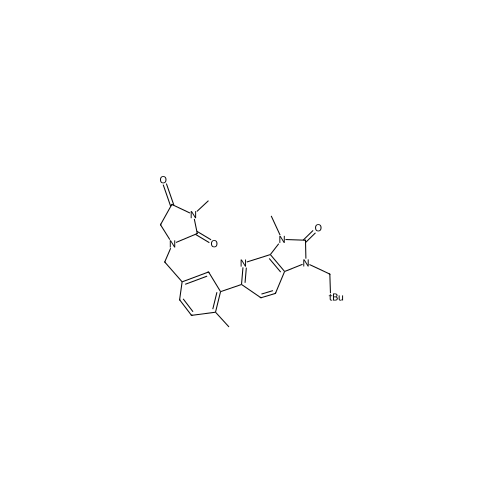 Cc1ccc(CN2CC(=O)N(C)C2=O)cc1-c1ccc2c(n1)n(C)c(=O)n2CC(C)(C)C